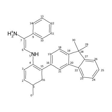 CC1C=CC(N/C=C(/N)c2ccccc2)=C(c2ccc3c(c2)-c2ccccc2C3(C)C)C1